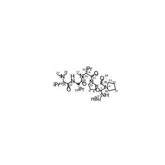 CCCCNC(=O)[N+]1(C(=O)[C@@H]2CCCN2C(=O)[C@H](C(C)C)N(C)C(=O)[C@@H](NC(=O)[C@H](C(C)C)N(C)C)C(C)C)CCC[C@H]1C